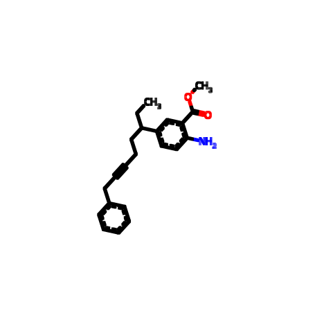 CCC(CCC#CCc1ccccc1)c1ccc(N)c(C(=O)OC)c1